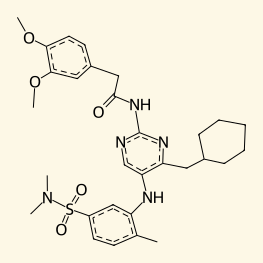 COc1ccc(CC(=O)Nc2ncc(Nc3cc(S(=O)(=O)N(C)C)ccc3C)c(CC3CCCCC3)n2)cc1OC